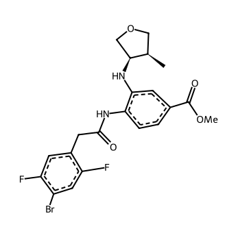 COC(=O)c1ccc(NC(=O)Cc2cc(F)c(Br)cc2F)c(N[C@H]2COC[C@H]2C)c1